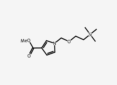 COC(=O)c1ccn(COCC[Si](C)(C)C)c1